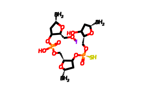 B[C@H]1CC(O)[C@@H](CO[P@](=O)(S)OC2C[C@H](B)O[C@@H]2COP(=O)(O)OC2C[C@H](B)O[C@@H]2COI)O1